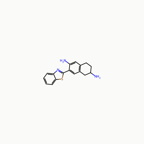 Nc1cc2c(cc1-c1nc3ccccc3s1)CC(N)CC2